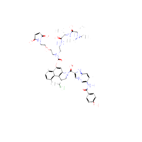 Cc1cccc2c(OC(=O)N(CCNC(=O)[C@H](C)NC(=O)[C@H](C(C)C)N(C)C)CCOCCN3C(=O)C=CC3=O)cc3c(c12)[C@H](CCl)CN3C(=O)c1cn2cc(NC(=O)c3ccc(O)cc3)ccc2n1